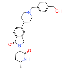 C=C1CCC(N2Cc3cc(C4CCN(CC5=CC=C(CO)CC5)CC4)ccc3C2=O)C(=O)N1